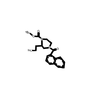 CC(C)(C)OC(=O)N1CCN(C(=O)c2cccc3ccccc23)CC1CCO